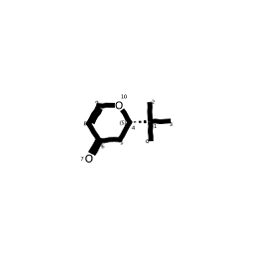 CC(C)(C)[C@@H]1CC(=O)C=CO1